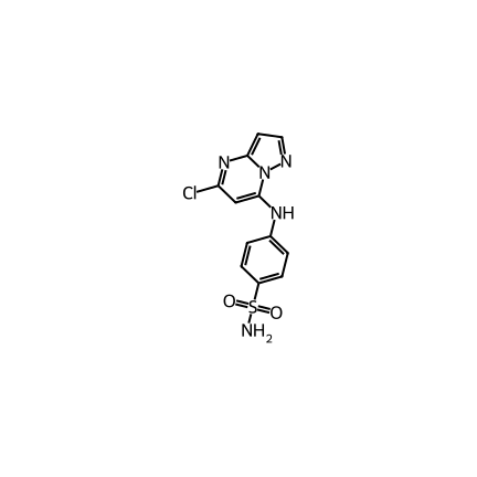 NS(=O)(=O)c1ccc(Nc2cc(Cl)nc3ccnn23)cc1